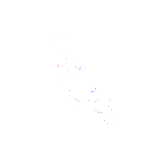 CCC(CC)COC(=O)[C@H](C)N[PH]1(O)OCC2(CO1)C/C2=C/n1cnc2c(=O)[nH]c(N)nc21